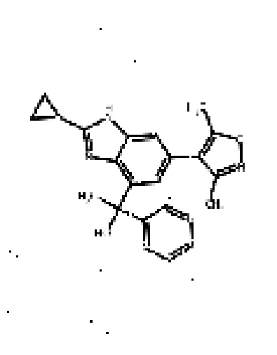 Cc1noc(C)c1-c1cc(C(C)(O)c2cccnc2)c2nc(C3CC3)[nH]c2c1